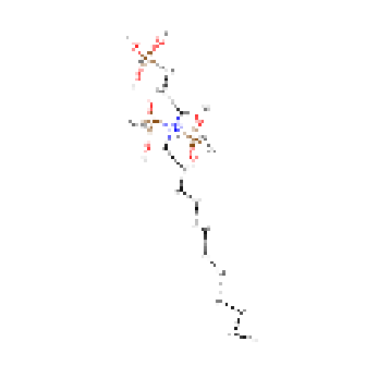 CCCCCCCCCCCC[N+](CCCS(=O)(=O)[O-])(S(C)(=O)=O)S(C)(=O)=O